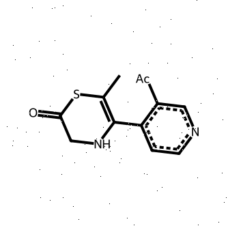 CC(=O)c1cnccc1C1=C(C)SC(=O)CN1